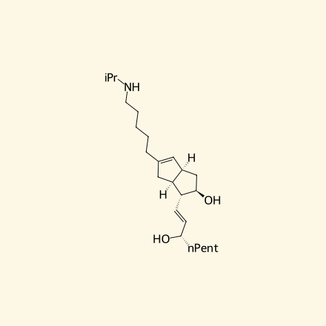 CCCCC[C@H](O)/C=C/[C@@H]1[C@H]2CC(CCCCCNC(C)C)=C[C@H]2C[C@H]1O